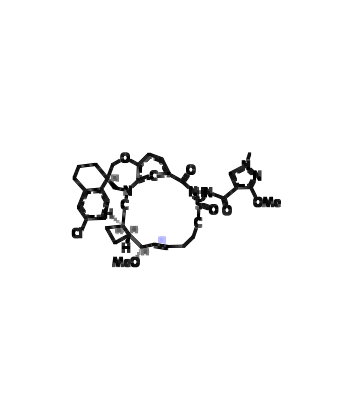 COc1nn(C)cc1C(=O)NS1(=O)=NC(=O)c2ccc3c(c2)N(C[C@@H]2CC[C@H]2[C@@H](OC)/C=C/CCC1)C[C@@]1(CCCc2cc(Cl)ccc21)CO3